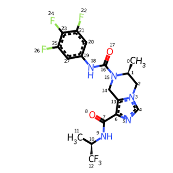 C[C@H]1Cn2cnc(C(=O)N[C@H](C)C(F)(F)F)c2CN1C(=O)Nc1cc(F)c(F)c(F)c1